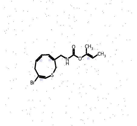 C/C=C(\C)OC(=O)NC/C1=C/C=C\C/C(Br)=C\SC1